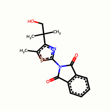 Cc1sc(N2C(=O)c3ccccc3C2=O)nc1C(C)(C)CO